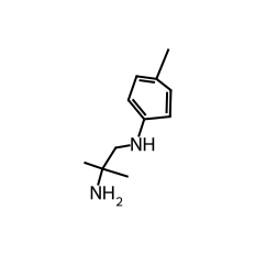 Cc1ccc(NCC(C)(C)N)cc1